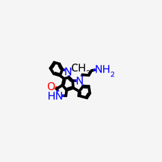 Cn1c2ccccc2c2c3c(c4c5ccccc5n(CCCN)c4c21)CNC3=O